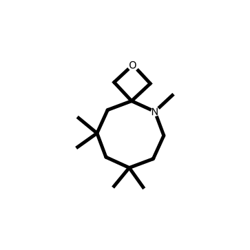 CN1CCC(C)(C)CC(C)(C)CC12COC2